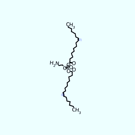 CCCCCC/C=C\CCCCCCCC(=O)OP(=O)(OCCN)OC(=O)CCCCCCC/C=C\CCCCCC